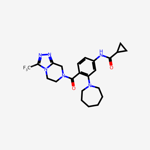 O=C(Nc1ccc(C(=O)N2CCn3c(nnc3C(F)(F)F)C2)c(N2CCCCCC2)c1)C1CC1